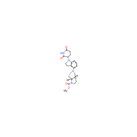 CC(C)(C)OC(=O)N1CC[C@H]2CN(c3cccc4c3CCN4C3CCC(=O)NC3=O)CC[C@H]21